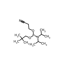 CC(C)N(C(C)C)P(OCCC#N)OCC(C)(C)C